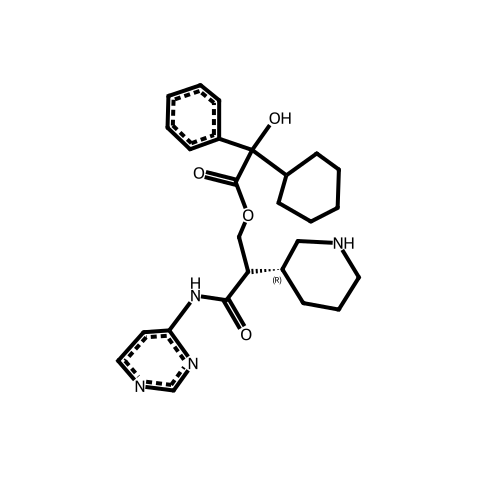 O=C(Nc1ccncn1)C(COC(=O)C(O)(c1ccccc1)C1CCCCC1)[C@H]1CCCNC1